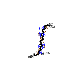 CCCCCCn1c2cc(CC(C)CCCC)sc2c2sc(-c3ncc(-c4cc5sc(-c6cnc(-c7cc8[nH]c9cc(CC(CC)CCCC)sc9c8s7)c7nsnc67)cc5s4)c4nsnc34)cc21